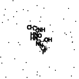 O=C(Nc1cnc(N2CCC(F)(F)CC2)c(CCO)c1)Nc1c[nH]c2ccc(Cl)cc12